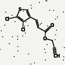 C#CCOC(=O)C=Cc1csc(Cl)c1Cl